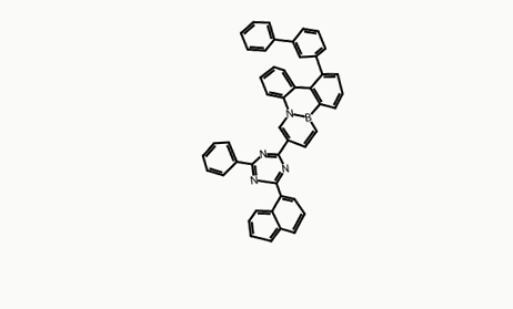 C1=CC(c2nc(-c3ccccc3)nc(-c3cccc4ccccc34)n2)=CN2B1c1cccc(-c3cccc(-c4ccccc4)c3)c1-c1ccccc12